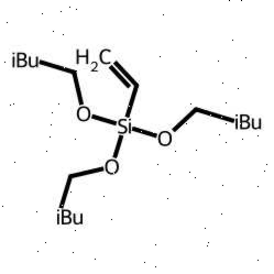 C=C[Si](OCC(C)CC)(OCC(C)CC)OCC(C)CC